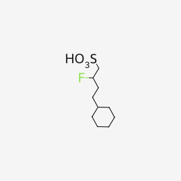 O=S(=O)(O)CC(F)CCC1CCCCC1